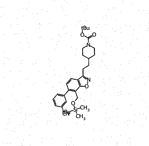 CC(C)(C)OC(=O)N1CCC(CCc2noc3c(CO[Si](C)(C)C(C)(C)C)c(-c4cccc(C#N)c4)ccc23)CC1